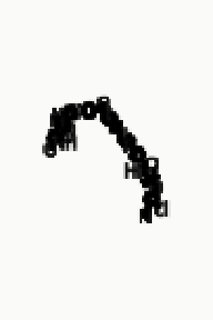 CC1(C)C(NC(=O)c2ccc(N3CCN(C4CC5(CCN(C(=O)C6CCN(c7ccc8nnn(C9CCC(=O)NC9=O)c(=O)c8c7)CC6)CC5)C4)CC3)cc2)C(C)(C)C1Oc1ccc(C#N)c(Cl)c1